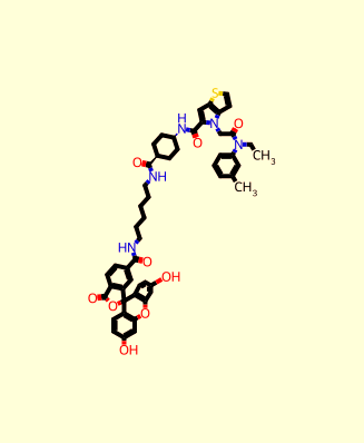 CCN(C(=O)Cn1c(C(=O)N[C@H]2CC[C@H](C(=O)NCCCCCCNC(=O)c3ccc4c(c3)C3(OC4=O)c4ccc(O)cc4Oc4cc(O)ccc43)CC2)cc2sccc21)c1cccc(C)c1